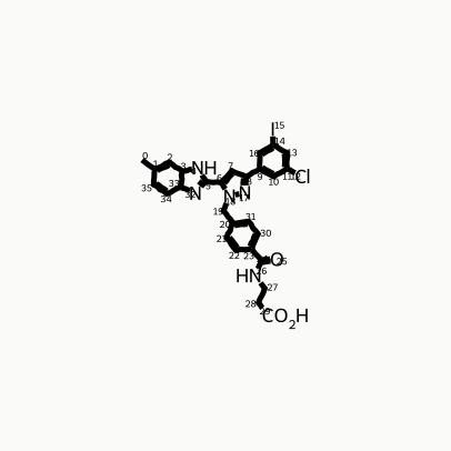 CC1=CC2NC(c3cc(-c4cc(Cl)cc(I)c4)nn3Cc3ccc(C(=O)NCCC(=O)O)cc3)=NC2C=C1